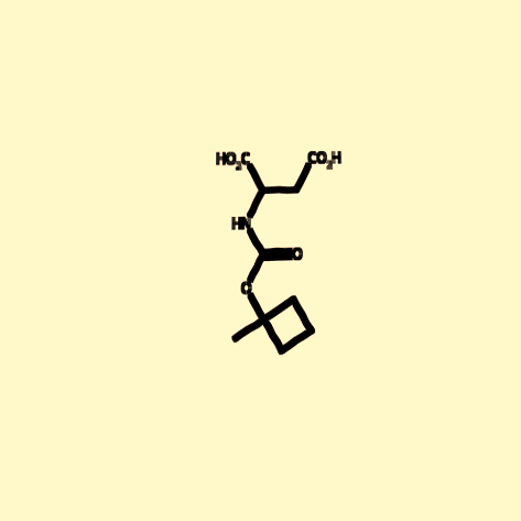 CC1(OC(=O)NC(CC(=O)O)C(=O)O)CCC1